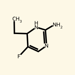 CCC1NC(N)=NC=C1F